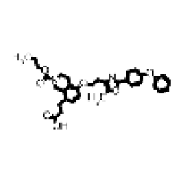 CCCOC(=O)N1CCc2c(OCCc3nc(-c4ccc(Oc5ccccc5)cc4)oc3C)ccc(CCC(=O)O)c2C1